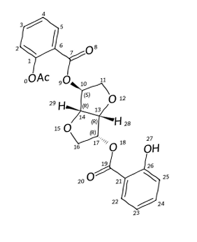 CC(=O)Oc1ccccc1C(=O)O[C@H]1CO[C@H]2[C@@H]1OC[C@H]2OC(=O)c1ccccc1O